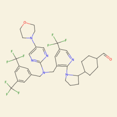 O=CC1CCC(C2CCCN2c2ncc(C(F)(F)F)cc2CN(Cc2cc(C(F)(F)F)cc(C(F)(F)F)c2)c2ncc(N3CCOCC3)cn2)CC1